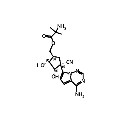 CC(C)(N)C(=O)OC[C@H]1C[C@@](C#N)(c2ccc3c(N)ncnn23)[C@H](O)[C@@H]1O